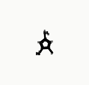 Cc1nc(N)sc1S